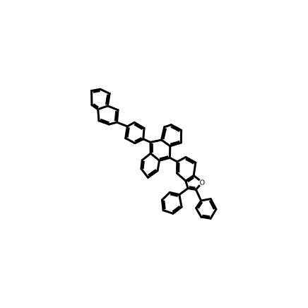 c1ccc(-c2oc3ccc(-c4c5ccccc5c(-c5ccc(-c6ccc7ccccc7c6)cc5)c5ccccc45)cc3c2-c2ccccc2)cc1